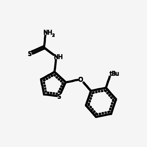 CC(C)(C)c1ccccc1Oc1sccc1NC(N)=S